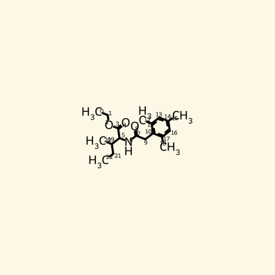 CCOC(=O)C(NC(=O)Cc1c(C)cc(C)cc1C)C(C)CC